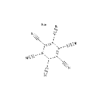 N#CC1=C(C#N)C(C#N)N(C#N)C(C#N)=C1C#N.[Na]